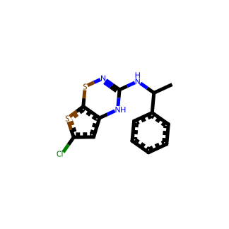 CC(NC1=NSc2sc(Cl)cc2N1)c1ccccc1